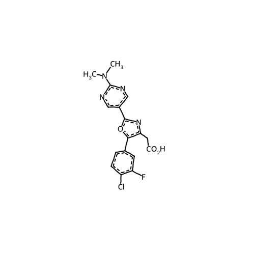 CN(C)c1ncc(-c2nc(CC(=O)O)c(-c3ccc(Cl)c(F)c3)o2)cn1